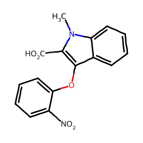 Cn1c(C(=O)O)c(Oc2ccccc2[N+](=O)[O-])c2ccccc21